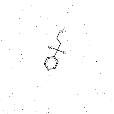 CCC(C#N)(CCC#N)c1ccncc1